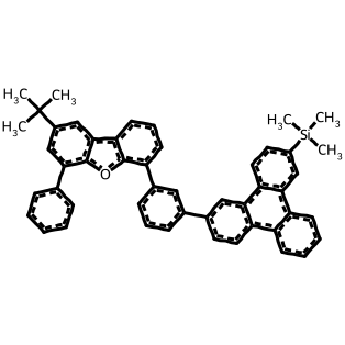 CC(C)(C)c1cc(-c2ccccc2)c2oc3c(-c4cccc(-c5ccc6c7ccccc7c7cc([Si](C)(C)C)ccc7c6c5)c4)cccc3c2c1